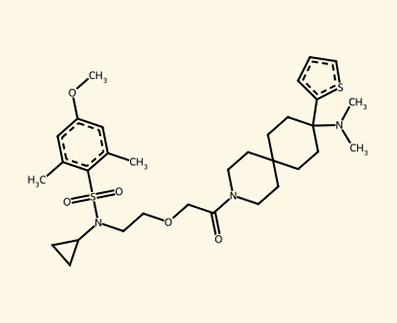 COc1cc(C)c(S(=O)(=O)N(CCOCC(=O)N2CCC3(CC2)CCC(c2cccs2)(N(C)C)CC3)C2CC2)c(C)c1